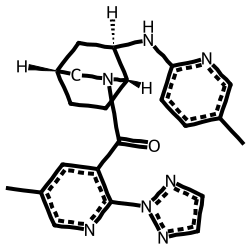 Cc1ccc(N[C@@H]2C[C@H]3CC[C@@H]2N(C(=O)c2cc(C)cnc2-n2nccn2)C3)nc1